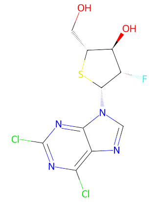 OC[C@H]1S[C@@H](n2cnc3c(Cl)nc(Cl)nc32)[C@@H](F)[C@@H]1O